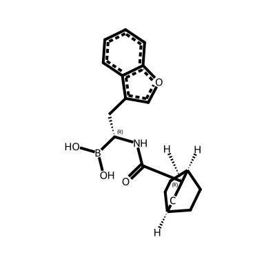 O=C(N[C@@H](Cc1coc2ccccc12)B(O)O)[C@@H]1C[C@H]2CC[C@@H]1CC2